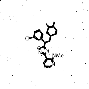 CNc1ncccc1-c1noc(C(Cc2ccc(C)c(C)c2)c2cccc(Cl)c2)n1